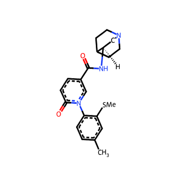 CSc1cc(C)ccc1-n1cc(C(=O)N[C@@H]2CN3CCC2CC3)ccc1=O